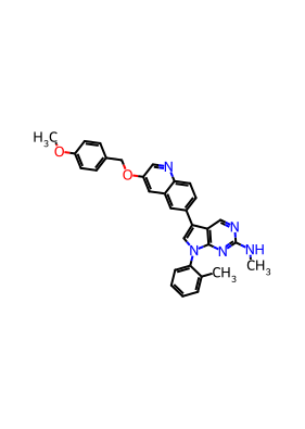 CNc1ncc2c(-c3ccc4ncc(OCc5ccc(OC)cc5)cc4c3)cn(-c3ccccc3C)c2n1